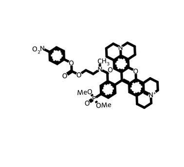 COP(=O)(OC)c1ccc(C2=c3cc4c5c(c3Oc3c2cc2c6c3CCCN6CCC2)CCC[N+]=5CCC4)c(C(=O)N(C)CCOC(=O)Oc2ccc([N+](=O)[O-])cc2)c1